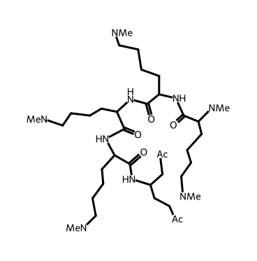 CNCCCCC(NC)C(=O)NC(CCCCNC)C(=O)NC(CCCCNC)C(=O)NC(CCCCNC)C(=O)NC(CCC(C)=O)CC(C)=O